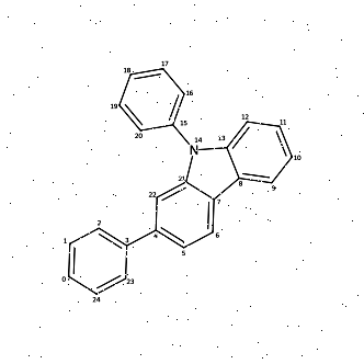 [c]1ccc(-c2ccc3c4ccccc4n(-c4ccccc4)c3c2)cc1